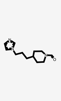 O=CN1CCC(CCCn2ccnc2)CC1